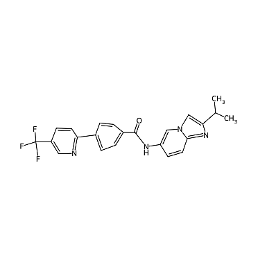 CC(C)c1cn2cc(NC(=O)c3ccc(-c4ccc(C(F)(F)F)cn4)cc3)ccc2n1